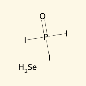 O=P(I)(I)I.[SeH2]